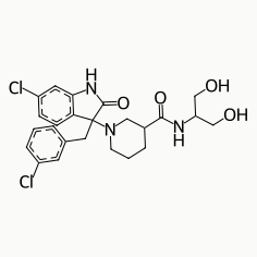 O=C(NC(CO)CO)C1CCCN(C2(Cc3cccc(Cl)c3)C(=O)Nc3cc(Cl)ccc32)C1